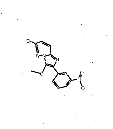 COc1c(-c2cccc([N+](=O)[O-])c2)nc2ccc(Cl)nn12